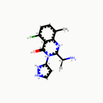 CC[C@H](N)c1nc2c(C)ccc(F)c2c(=O)n1-c1cc[nH]n1